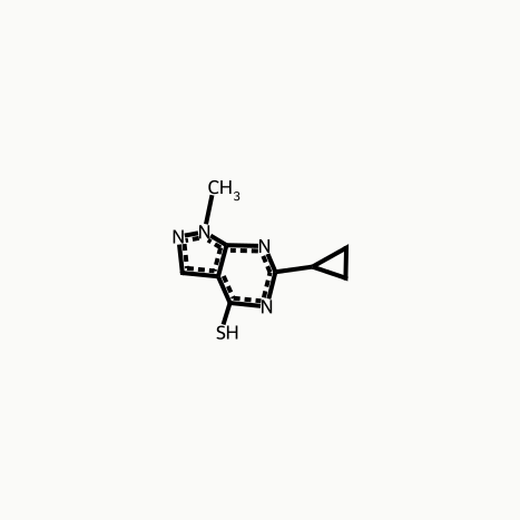 Cn1ncc2c(S)nc(C3CC3)nc21